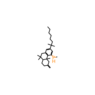 C=C1CCC2C(C)(C)Cc3cc(C(C)(C)CCCCCC)cc(PC)c3C2(C)C1